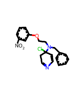 O=[N+]([O-])c1cccc(OCCN(Cc2ccccc2)C2(Cl)C=CN=CC2)c1